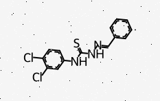 S=C(NN=Cc1c[c]ccc1)Nc1ccc(Cl)c(Cl)c1